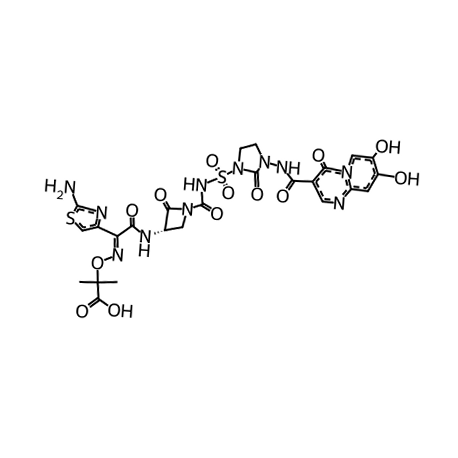 CC(C)(ON=C(C(=O)N[C@H]1CN(C(=O)NS(=O)(=O)N2CCN(NC(=O)c3cnc4cc(O)c(O)cn4c3=O)C2=O)C1=O)c1csc(N)n1)C(=O)O